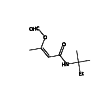 CCC(C)(C)NC(=O)C=C(C)OC=O